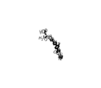 NC(=O)[C@H](CCC(=O)O)NC[C@@H]1CC(c2ccc(-c3ccc(N4C[C@H](Cn5ccnn5)OC4=O)cc3F)cn2)=NO1